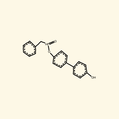 O=[PH](Cc1ccccc1)Oc1ccc(-c2ccc(O)cc2)cc1